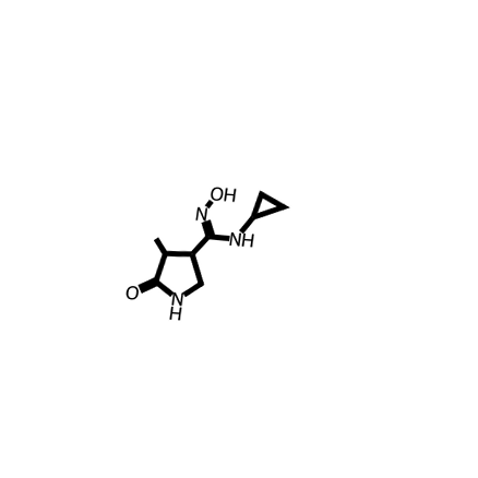 CC1C(=O)NCC1C(=NO)NC1CC1